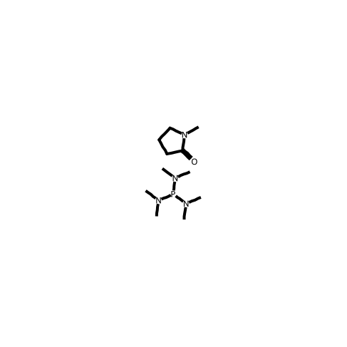 CN(C)P(N(C)C)N(C)C.CN1CCCC1=O